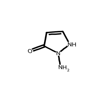 Nn1[nH]ccc1=O